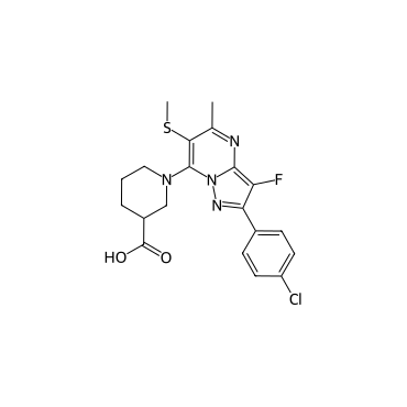 CSc1c(C)nc2c(F)c(-c3ccc(Cl)cc3)nn2c1N1CCCC(C(=O)O)C1